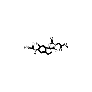 CNC(=O)Nc1cc2c(cc1F)[C@@]1(CC2)OC(=O)N(CC(=O)OC)C1=O